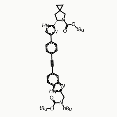 CCCCN(Cc1nc2cc(C#Cc3ccc(-c4c[nH]c([C@@H]5CC6(CC6)CN5C(=O)OC(C)(C)C)n4)cc3)ccc2[nH]1)C(=O)OC(C)(C)C